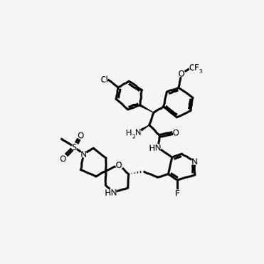 CS(=O)(=O)N1CCC2(CC1)CNC[C@@H](CCc1c(F)cncc1NC(=O)[C@@H](N)[C@@H](c1ccc(Cl)cc1)c1cccc(OC(F)(F)F)c1)O2